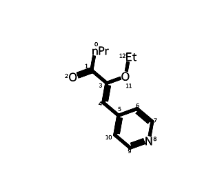 CCCC(=O)C(=Cc1ccncc1)OCC